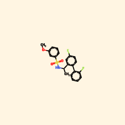 COc1cccc(S(=O)(=O)NC(C)c2cc(F)ccc2-c2ccccc2F)c1